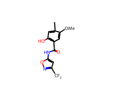 COc1cc(C(=O)Nc2cc(C(F)(F)F)no2)c(O)cc1C